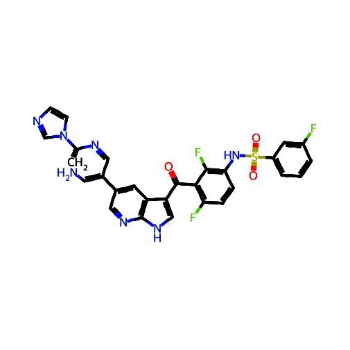 C=C(/N=C\C(=C/N)c1cnc2[nH]cc(C(=O)c3c(F)ccc(NS(=O)(=O)c4cccc(F)c4)c3F)c2c1)n1ccnc1